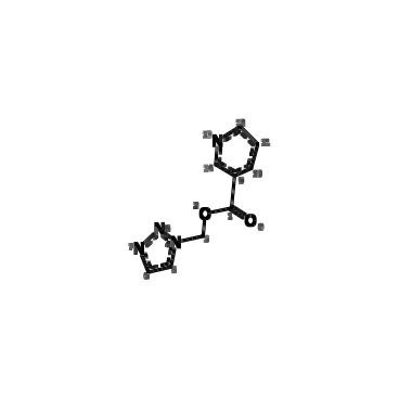 O=C(OCn1ccnn1)c1cccnc1